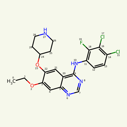 CCOc1cc2ncnc(Nc3ccc(Cl)c(Cl)c3F)c2cc1OC1CCNCC1